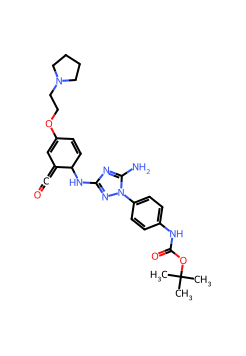 CC(C)(C)OC(=O)Nc1ccc(-n2nc(NC3C=CC(OCCN4CCCC4)=CC3=C=O)nc2N)cc1